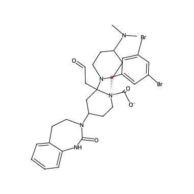 CN(C)C1CCN(C2(CC=O)CC(N3CCc4ccccc4NC3=O)CC[N@+]2(Cc2cc(Br)cc(Br)c2)C(=O)[O-])CC1